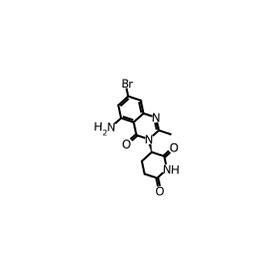 Cc1nc2cc(Br)cc(N)c2c(=O)n1[C@@H]1CCC(=O)NC1=O